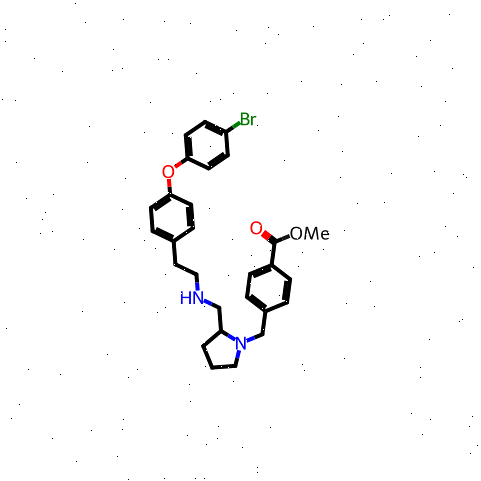 COC(=O)c1ccc(CN2CCCC2CNCCc2ccc(Oc3ccc(Br)cc3)cc2)cc1